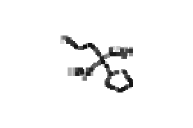 CC(C)CCC(C(=O)O)(C(=O)O)C1CCCC1